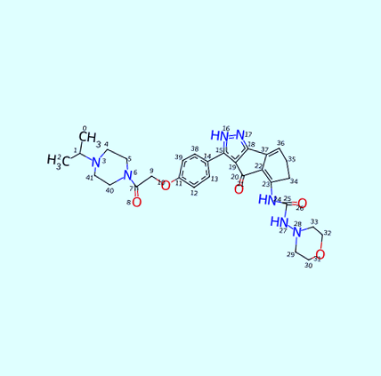 CC(C)N1CCN(C(=O)COc2ccc(-c3[nH]nc4c3C(=O)C3=C(NC(=O)NN5CCOCC5)CCC=C34)cc2)CC1